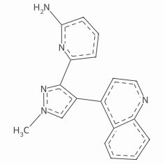 Cn1cc(-c2ccnc3ccccc23)c(-c2cccc(N)n2)n1